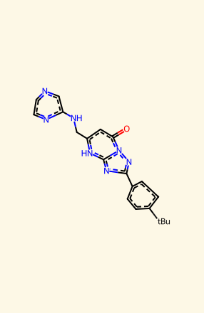 CC(C)(C)c1ccc(-c2nc3[nH]c(CNc4cnccn4)cc(=O)n3n2)cc1